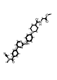 COC(=O)CNC(=O)C1CCN(c2ccc(Nc3nccc(-c4ccc(C(=O)N(C)C#N)cc4)n3)cc2)CC1